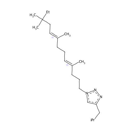 CCC(C)(C)C/C=C(\C)CC/C=C(\C)CCCn1cc(CC(C)C)nn1